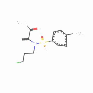 C=C(C(=O)OC)N(CCCCl)S(=O)(=O)c1ccc(OC)cc1